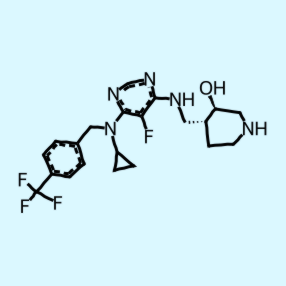 O[C@H]1CNCC[C@@H]1CNc1ncnc(N(Cc2ccc(C(F)(F)F)cc2)C2CC2)c1F